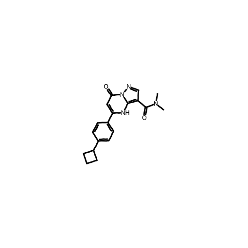 CN(C)C(=O)c1cnn2c(=O)cc(-c3ccc(C4CCC4)cc3)[nH]c12